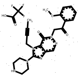 CC#CCn1c(N2CCNCC2)nc2cnn(CC(=O)c3ccccc3OC)c(=O)c21.O=C(O)C(F)(F)F